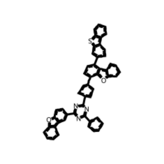 c1ccc(-c2nc(-c3ccc(-c4ccc(-c5ccc6c(c5)sc5ccccc56)c5c4oc4ccccc45)cc3)nc(-c3ccc4oc5ccccc5c4c3)n2)cc1